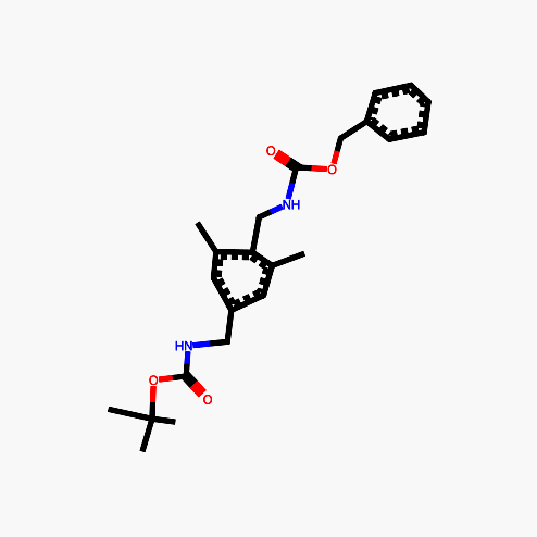 Cc1cc(CNC(=O)OC(C)(C)C)cc(C)c1CNC(=O)OCc1ccccc1